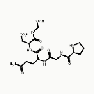 NC(=O)CC[C@H](NC(=O)CNC(=O)[C@@H]1CCCN1)C(=O)N[C@@H](CC(=O)O)C(=O)NCC(=O)O